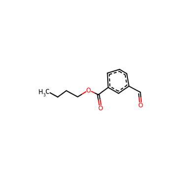 CCCCOC(=O)c1cccc(C=O)c1